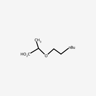 CCCCCCOC(C)C(=O)O